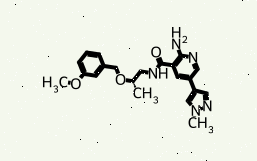 COc1cccc(CO[C@@H](C)CNC(=O)c2cc(-c3cnn(C)c3)cnc2N)c1